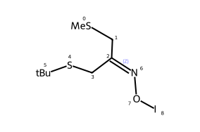 CSC/C(CSC(C)(C)C)=N/OI